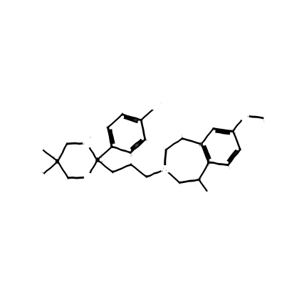 COc1ccc2c(c1)CCN(CCCC1(c3ccc(F)cc3)OCC(C)(C)CO1)CC2O